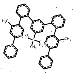 Cc1cc(-c2ccccc2)ncc1-c1ccccc1-c1cc(-c2ccccc2-c2cnc(-c3ccccc3)cc2C)cc(S(C)(C)C)c1